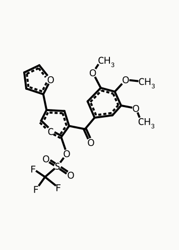 COc1cc(C(=O)c2cc(-c3ccco3)ccc2OS(=O)(=O)C(F)(F)F)cc(OC)c1OC